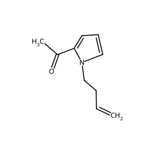 C=CCCn1cccc1C(C)=O